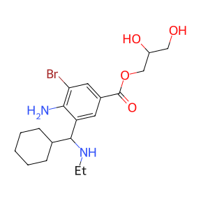 CCNC(c1cc(C(=O)OCC(O)CO)cc(Br)c1N)C1CCCCC1